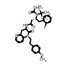 COc1ccc(CCN2C(=O)C(NC(=O)C[C@@H](Cc3ccccc3F)N(C(=O)O)C(C)(C)C)Cc3ncccc32)cc1